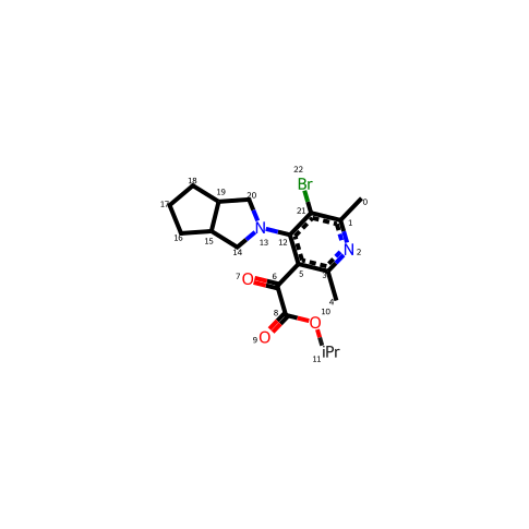 Cc1nc(C)c(C(=O)C(=O)OC(C)C)c(N2CC3CCCC3C2)c1Br